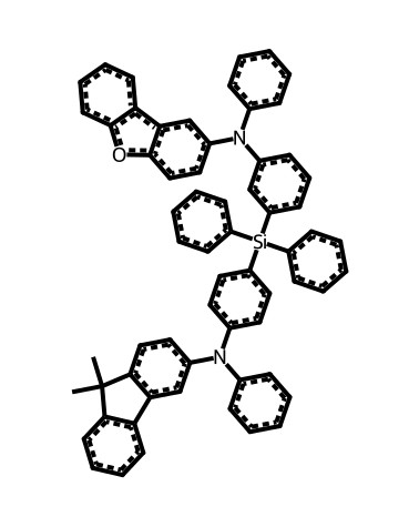 CC1(C)c2ccccc2-c2cc(N(c3ccccc3)c3ccc([Si](c4ccccc4)(c4ccccc4)c4cccc(N(c5ccccc5)c5ccc6oc7ccccc7c6c5)c4)cc3)ccc21